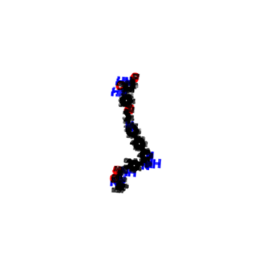 Cc1cc(-c2n[nH]c3ncc(-c4ccc(C5CCN(CCCOc6ccc(NC7CCC(=O)NC7=O)cc6)CC5)cc4)cc23)ccc1CNC(=O)c1nc(C(C)(C)C)no1